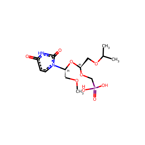 COC[C@@H](O[C@@H](COC(C)C)OCP(=O)(O)O)n1ccc(=O)[nH]c1=O